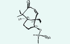 CC1(C)C(=O)C=C[C@]2(C)[C@@H](O[Si](C)(C)C(C)(C)C)CC[C@@H]12